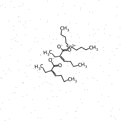 CCCC=C(CC)C(=O)[O-].CCCC=C(CC)C(=O)[O-].CCC[CH2][Sn+2][CH2]CCC